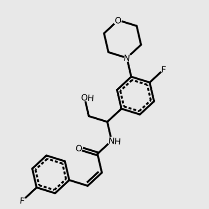 O=C(/C=C\c1cccc(F)c1)NC(CO)c1ccc(F)c(N2CCOCC2)c1